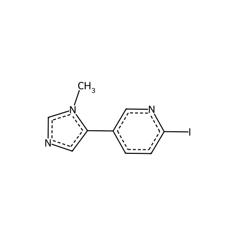 Cn1cncc1-c1ccc(I)nc1